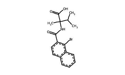 CC(C)C(C)(NC(=O)c1ccc2ccccc2c1Br)C(=O)O